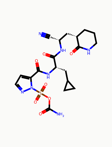 N#C[C@H](C[C@@H]1CCCNC1=O)NC(=O)[C@H](CC1CC1)NC(=O)c1ccnn1S(=O)(=O)OC(N)=O